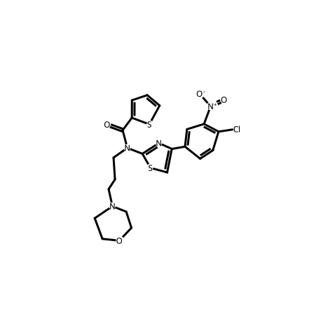 O=C(c1cccs1)N(CCCN1CCOCC1)c1nc(-c2ccc(Cl)c([N+](=O)[O-])c2)cs1